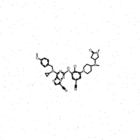 COc1ccc(CN(c2nc(Nc3cc(C#N)cc(N4CCC(N(C)C5CC(=O)N(C)C5)CC4)c3Cl)nn3c(C#N)cnc23)C2CC2)cc1